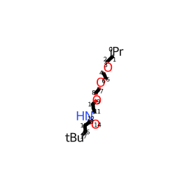 CC(C)CCOCCOCCOCCNC(=O)CCC(C)(C)C